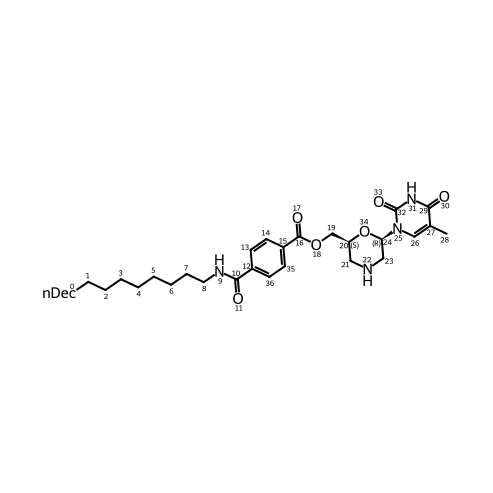 CCCCCCCCCCCCCCCCCCNC(=O)c1ccc(C(=O)OC[C@@H]2CNC[C@H](n3cc(C)c(=O)[nH]c3=O)O2)cc1